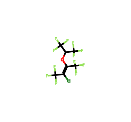 FC(F)(F)C(Cl)=C(OC(C(F)(F)F)C(F)(F)F)C(F)(F)F